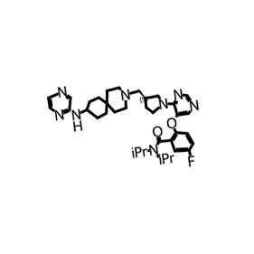 CC(C)N(C(=O)c1cc(F)ccc1Oc1cncnc1N1CC[C@@H](CN2CCC3(CCC(Nc4cnccn4)CC3)CC2)C1)C(C)C